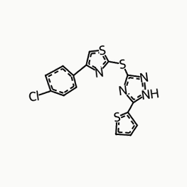 Clc1ccc(-c2csc(Sc3n[nH]c(-c4cccs4)n3)n2)cc1